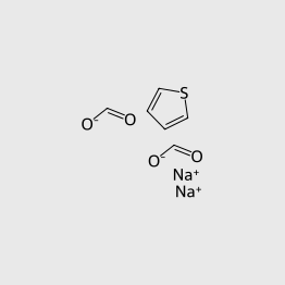 O=C[O-].O=C[O-].[Na+].[Na+].c1ccsc1